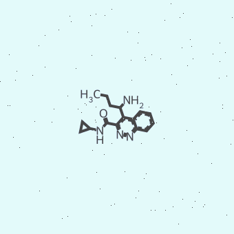 CCCC(N)c1c(C(=O)NC2CC2)nnc2ccccc12